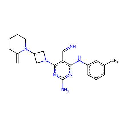 C=C1CCCCN1C1CN(c2nc(N)nc(Nc3cccc(C(F)(F)F)c3)c2C=N)C1